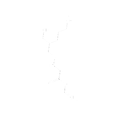 C=COC(=O)CNSCC(CC)CCCC